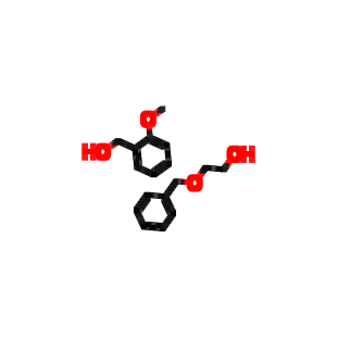 COc1ccccc1CO.OCCOCc1ccccc1